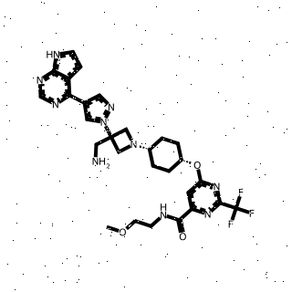 COCCNC(=O)c1cc(O[C@H]2CC[C@@H](N3CC(CN)(n4cc(-c5ncnc6[nH]ccc56)cn4)C3)CC2)nc(C(F)(F)F)n1